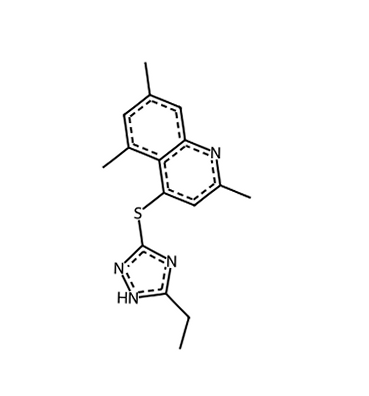 CCc1nc(Sc2cc(C)nc3cc(C)cc(C)c23)n[nH]1